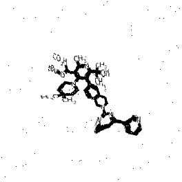 Cc1nc(C(C)(C)O)c(-c2ccc3c(c2)CCN(c2nccc(-c4cccnc4)n2)C3)c(N2CCC(C)(C)CC2)c1C(OC(C)(C)C)C(=O)O